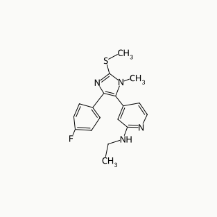 CCNc1cc(-c2c(-c3ccc(F)cc3)nc(SC)n2C)ccn1